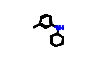 Cc1cccc(NC2C=CCCC2)c1